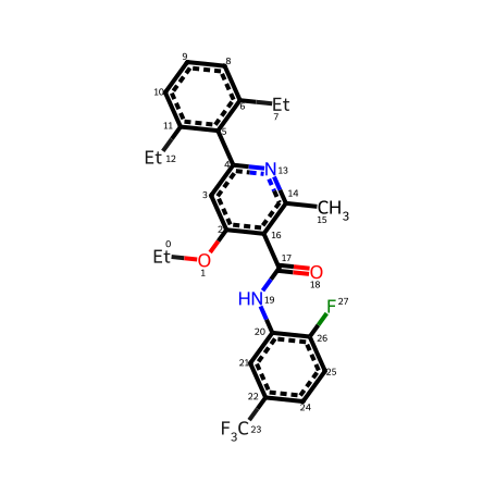 CCOc1cc(-c2c(CC)cccc2CC)nc(C)c1C(=O)Nc1cc(C(F)(F)F)ccc1F